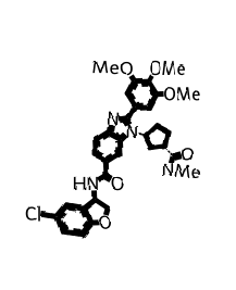 CNC(=O)[C@H]1CC[C@@H](n2c(-c3cc(OC)c(OC)c(OC)c3)nc3ccc(C(=O)NC4COc5ccc(Cl)cc54)cc32)C1